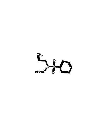 C=CCN(CCCCC)S(=O)(=O)c1ccccc1